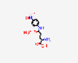 NC(CCC(=O)Nc1ccc([N+](=O)[O-])cc1)C(=O)O.O